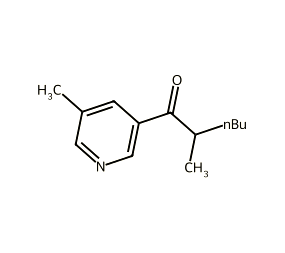 CCCCC(C)C(=O)c1cncc(C)c1